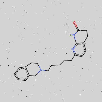 O=C1CCc2ccc(CCCCCN3CCc4ccccc4C3)nc2N1